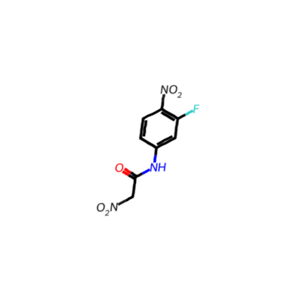 O=C(C[N+](=O)[O-])Nc1ccc([N+](=O)[O-])c(F)c1